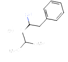 CC[C@H](C)[C@@H](C(N)Cc1ccccc1)C(OC)OC